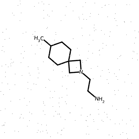 CC1CCC2(CC1)CN(CCN)C2